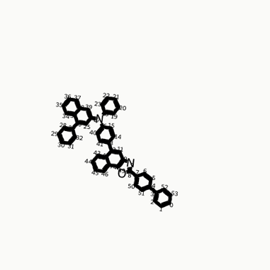 c1ccc(-c2ccc(-c3nc4cc(-c5ccc(N(c6ccccc6)c6cc(-c7ccccc7)c7ccccc7c6)cc5)c5ccccc5c4o3)cc2)cc1